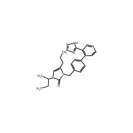 CCCc1cn(C(C)CC)c(=O)n1Cc1ccc(-c2ccncc2-c2nnn[nH]2)cc1